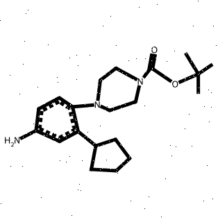 CC(C)(C)OC(=O)N1CCN(c2ccc(N)cc2C2CCCC2)CC1